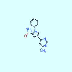 NC(=O)c1cc(-c2cc(N)ncn2)cn1-c1ccccc1